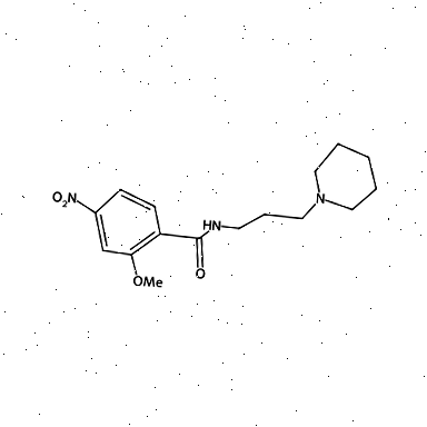 COc1cc([N+](=O)[O-])ccc1C(=O)NCCCN1CCCCC1